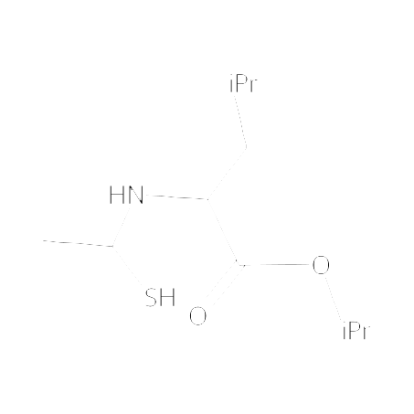 CC(C)CC(NC(C)S)C(=O)OC(C)C